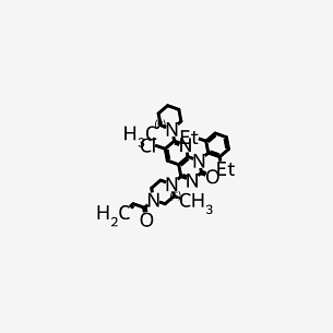 C=CC(=O)N1CCN(c2nc(=O)n(-c3c(CC)cccc3CC)c3nc(N4CCCC[C@H]4C)c(Cl)cc23)[C@@H](C)C1